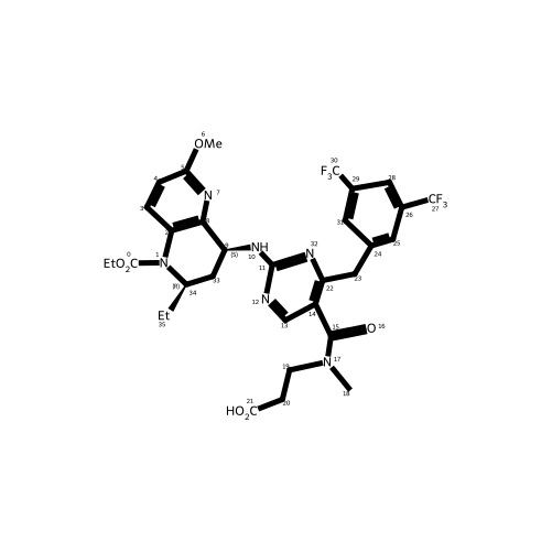 CCOC(=O)N1c2ccc(OC)nc2[C@@H](Nc2ncc(C(=O)N(C)CCC(=O)O)c(Cc3cc(C(F)(F)F)cc(C(F)(F)F)c3)n2)C[C@H]1CC